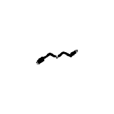 N#CCOCC=O